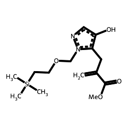 C=C(Cc1c(O)cnn1COCC[Si](C)(C)C)C(=O)OC